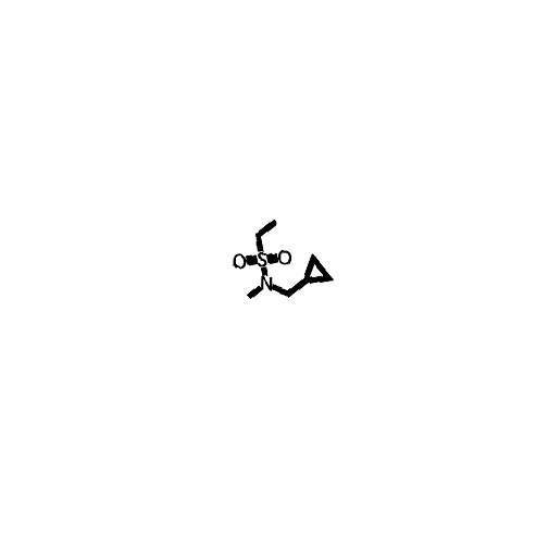 CCS(=O)(=O)N(C)CC1CC1